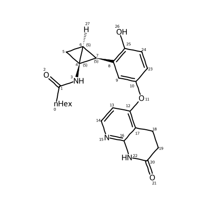 CCCCCCC(=O)N[C@@]12C[C@H]1[C@H]2c1cc(Oc2ccnc3c2CCC(=O)N3)ccc1O